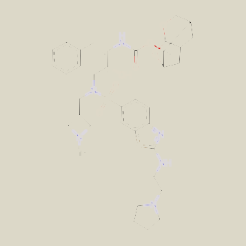 CC(C)N1CC(CN(C[C@@H](O)[C@H](Cc2ccccc2)NC(=O)O[C@H]2C3COC4OC2CC4C3)S(=O)(=O)c2ccc3nc(NCCN4CCCC4)sc3c2)C1